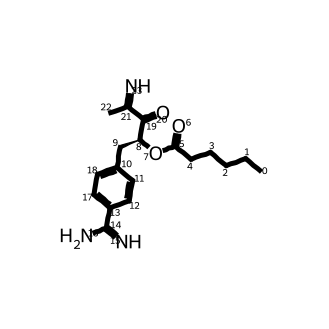 CCCCCC(=O)O[C@@H](Cc1ccc(C(=N)N)cc1)C(=O)C(C)=N